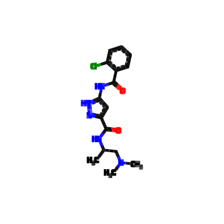 CC(CN(C)C)NC(=O)c1cc(NC(=O)c2ccccc2Cl)[nH]n1